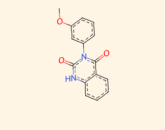 COc1cccc(-n2c(=O)[nH]c3ccccc3c2=O)c1